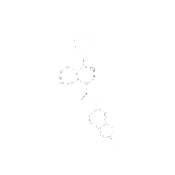 Cc1nc2c(F)cc(NC(=O)c3ccc(N4CCNCC4)c4ccnnc34)cc2s1